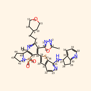 Cc1nnc(-c2c(CCC3CCOCC3)nc3c(c2-c2cc4ccnc(N[C@@H]5CCc6ncccc65)c4s2)S(=O)(=O)N2CCC[C@@H]32)o1